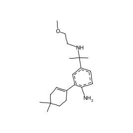 COCCNC(C)(C)c1ccc(N)c(C2=CCC(C)(C)CC2)c1